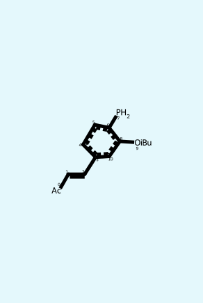 CC(=O)/C=C/c1ccc(P)c(OCC(C)C)c1